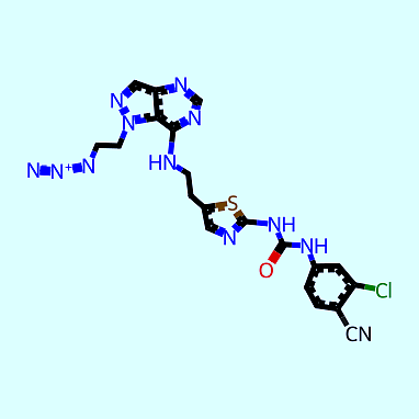 N#Cc1ccc(NC(=O)Nc2ncc(CCNc3ncnc4cnn(CCN=[N+]=[N-])c34)s2)cc1Cl